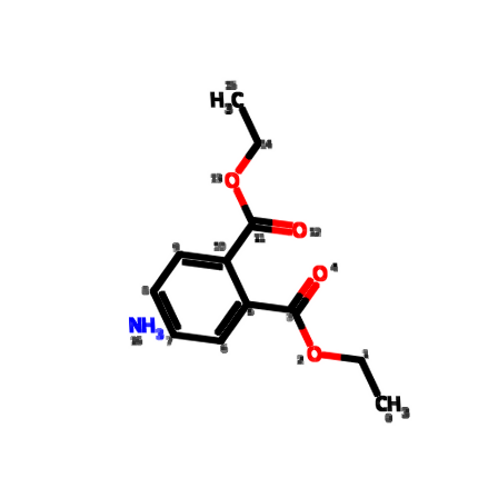 CCOC(=O)c1ccccc1C(=O)OCC.N